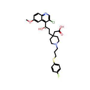 COc1ccc2ncc(Cl)c([C@H](O)CCC3(CC(=O)O)CCN(CCCSc4ccc(F)cc4)CC3)c2c1